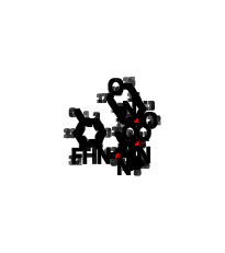 Cc1ccc(Nc2ncnc(OC3CC4COCC(C3)N4C(=O)OCC3(C)CC3)c2C)c(F)c1